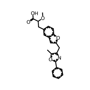 COC(Cc1ccc2oc(Cc3nc(-c4ccccc4)oc3C)cc2c1)C(=O)O